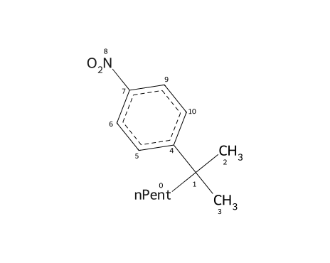 CCCCCC(C)(C)c1ccc([N+](=O)[O-])cc1